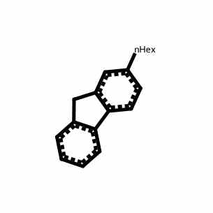 [CH2]CCCCCc1ccc2c(c1)Cc1ccccc1-2